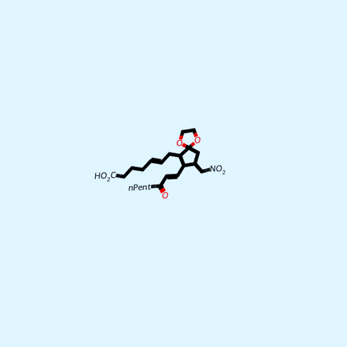 CCCCCC(=O)C=CC1C(C[N+](=O)[O-])CC2(OCCO2)C1CC=CCCCC(=O)O